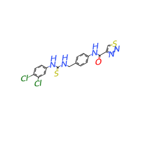 O=C(Nc1ccc(CNC(=S)Nc2ccc(Cl)c(Cl)c2)cc1)c1csnn1